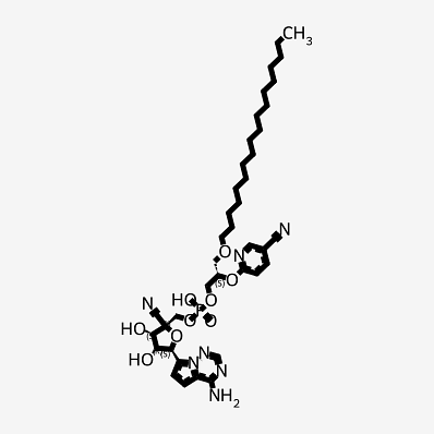 CCCCCCCCCCCCCCCCCCOC[C@@H](COP(=O)(O)OC[C@@]1(C#N)O[C@@H](c2ccc3c(N)ncnn23)[C@H](O)[C@@H]1O)Oc1ccc(C#N)cn1